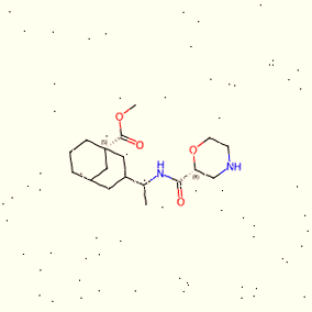 COC(=O)[C@]12CCCC(CC(C(C)NC(=O)[C@H]3CNCCO3)C1)C2